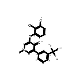 Cn1cc(Oc2cccc(Cl)c2Cl)c(=O)c(-c2cccc(C(F)(F)F)c2)c1